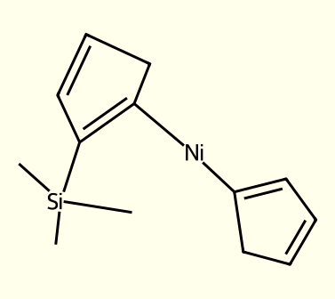 C[Si](C)(C)C1=[C]([Ni][C]2=CC=CC2)CC=C1